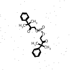 CC(C)(C(=O)CO[PH](=O)OCC(=O)C(C)(C)c1ccccc1)c1ccccc1